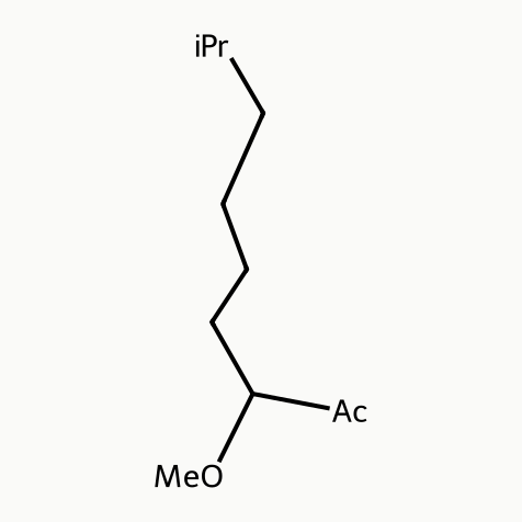 COC(CCCCC(C)C)C(C)=O